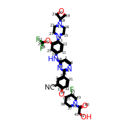 N#Cc1cc(-c2nccc(Nc3ccc(N4CCN(C5COC5)CC4)c(OC(F)F)c3)n2)ccc1O[C@H]1CCN(C(=O)CO)C[C@H]1F